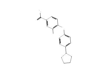 NC(=O)c1ccc(Oc2ccc(C3CCCC3)cc2)c(F)c1